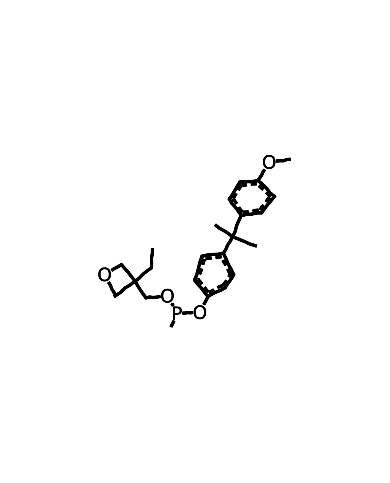 CCC1(COP(C)Oc2ccc(C(C)(C)c3ccc(OC)cc3)cc2)COC1